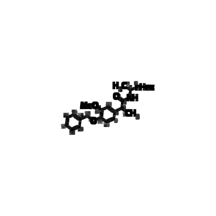 CCCCCCC(C)NC(=O)C(C)c1ccc(OCc2ccccc2)c(OC)c1